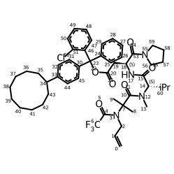 C=CCN(C(=O)C(F)(F)F)C(C)(C)C(=O)N(C)[C@H](C(=O)N[C@@H](CC(=O)OC(c1ccccc1)(c1ccc(C2CCCCCCCCC2)cc1)c1ccccc1Cl)C(=O)N1CCCC1)C(C)C